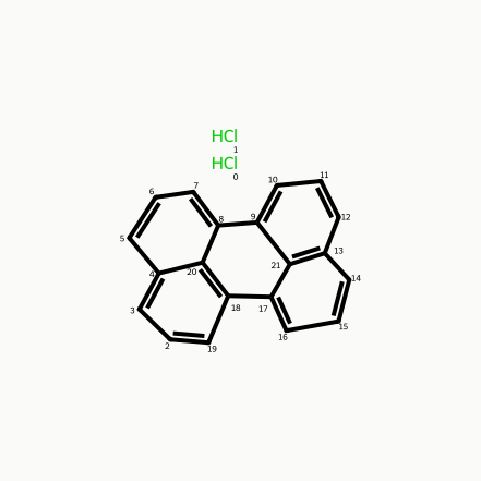 Cl.Cl.c1cc2cccc3c4cccc5cccc(c(c1)c23)c54